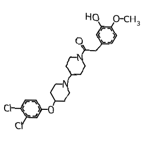 COc1ccc(CC(=O)N2CCC(N3CCC(Oc4ccc(Cl)c(Cl)c4)CC3)CC2)cc1O